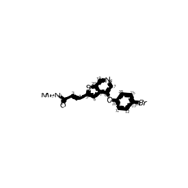 CNC(=O)/C=C/c1cc2c(Oc3ccc(Br)cc3)cncc2s1